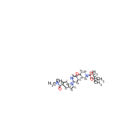 CN(C)C(=O)c1ccc2c(ccn2-c2ccc(OC3CCN(C(=O)OC(C)(C)C)CC3)cn2)c1